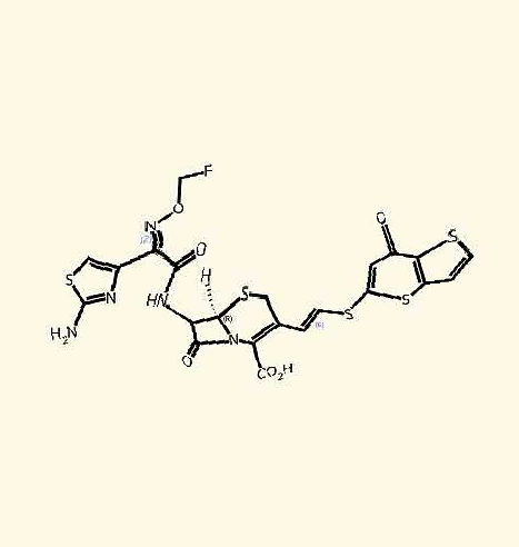 Nc1nc(/C(=N/OCF)C(=O)NC2C(=O)N3C(C(=O)O)=C(/C=C/Sc4cc(=O)c5sccc5s4)CS[C@H]23)cs1